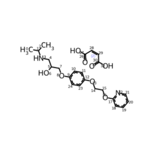 CC(C)NCC(O)COc1ccc(OCCOc2ccccn2)cc1.O=C(O)/C=C\C(=O)O